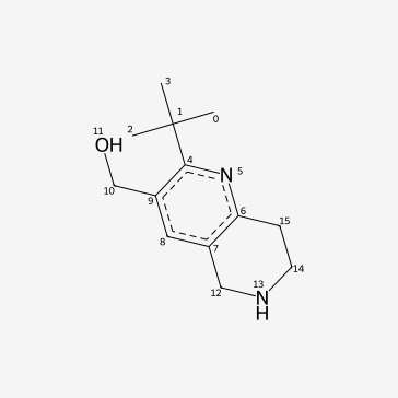 CC(C)(C)c1nc2c(cc1CO)CNCC2